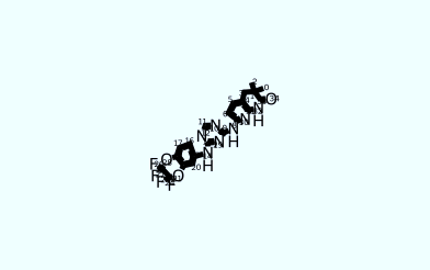 CC1(C)Cc2ccc(Nc3ncnc(Nc4ccc5c(c4)OC(F)(F)C(F)(F)O5)n3)nc2NC1=O